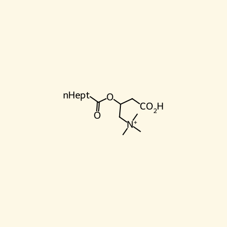 CCCCCCCC(=O)OC(CC(=O)O)C[N+](C)(C)C